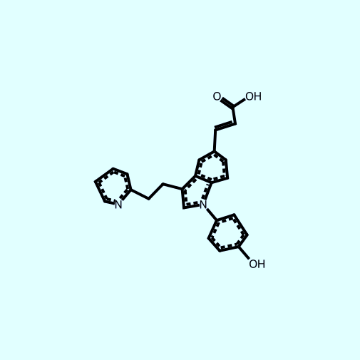 O=C(O)/C=C/c1ccc2c(c1)c(CCc1ccccn1)cn2-c1ccc(O)cc1